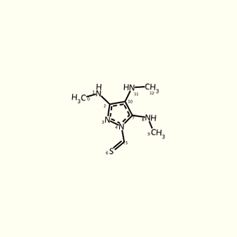 CNc1nn([C]=S)c(NC)c1NC